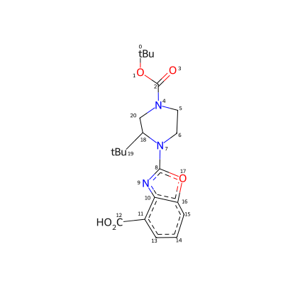 CC(C)(C)OC(=O)N1CCN(c2nc3c(C(=O)O)cccc3o2)C(C(C)(C)C)C1